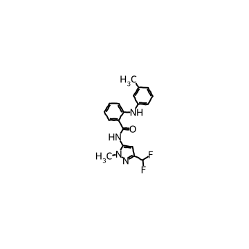 Cc1cccc(Nc2ccccc2C(=O)Nc2cc(C(F)F)nn2C)c1